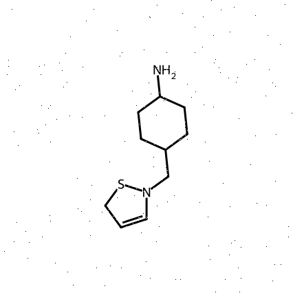 NC1CCC(CN2C=CCS2)CC1